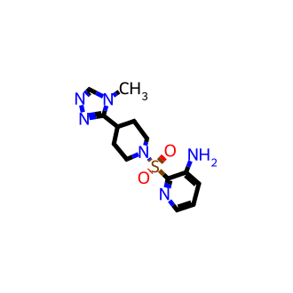 Cn1cnnc1C1CCN(S(=O)(=O)c2ncccc2N)CC1